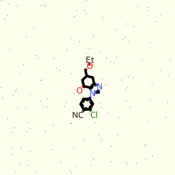 CCOCC1CC(=O)c2c(ncn2-c2ccc(C#N)c(Cl)c2)C1